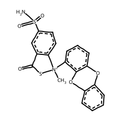 C[N+]1(c2cccc3c2Oc2ccccc2O3)SC(=O)c2cc(S(N)(=O)=O)ccc21